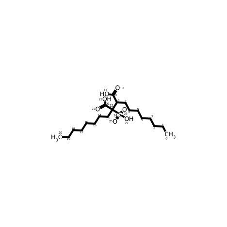 CCCCCCCCC(C(=O)O)C(CCCCCCCC)(C(=O)O)S(=O)(=O)O